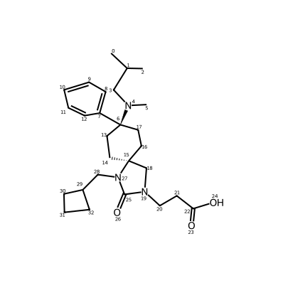 CC(C)CN(C)[C@]1(c2ccccc2)CC[C@]2(CC1)CN(CCC(=O)O)C(=O)N2CC1CCC1